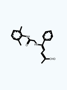 C/C(C=O)=C/C=C(\NCC(=O)Nc1c(C)cccc1C)c1ccccc1